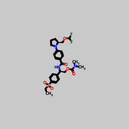 CCS(=O)(=O)c1ccc([C@H](COC(=O)N(C)C)NC(=O)c2ccc(N3CCC[C@H]3COC(F)F)cc2)cc1